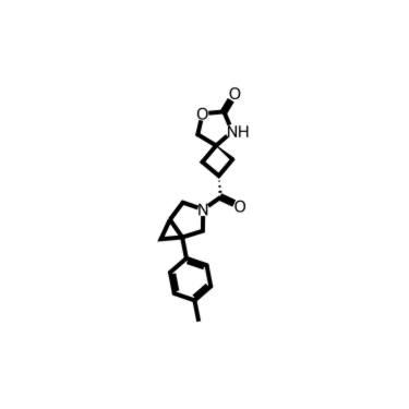 Cc1ccc(C23CC2CN(C(=O)[C@H]2C[C@]4(COC(=O)N4)C2)C3)cc1